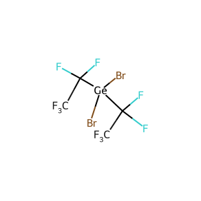 FC(F)(F)[C](F)(F)[Ge]([Br])([Br])[C](F)(F)C(F)(F)F